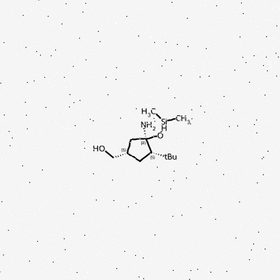 C[SiH](C)O[C@]1(N)C[C@@H](CO)C[C@H]1C(C)(C)C